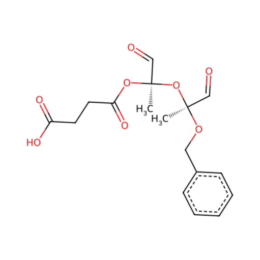 C[C@](C=O)(OCc1ccccc1)O[C@](C)(C=O)OC(=O)CCC(=O)O